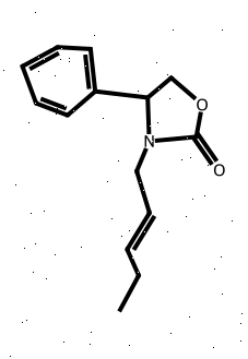 CC/C=C/CN1C(=O)OCC1c1ccccc1